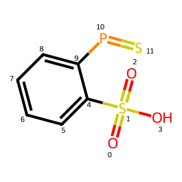 O=S(=O)(O)c1ccccc1P=S